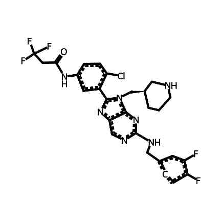 O=C(CC(F)(F)F)Nc1ccc(Cl)c(-c2nc3cnc(NCc4ccc(F)c(F)c4)nc3n2C[C@@H]2CCCNC2)c1